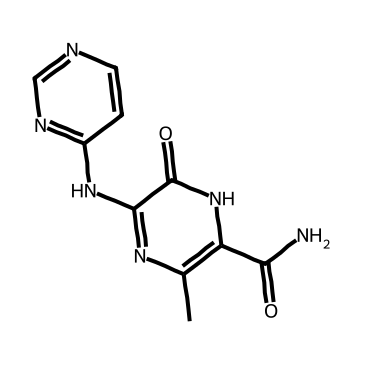 Cc1nc(Nc2ccncn2)c(=O)[nH]c1C(N)=O